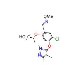 CO/N=C/c1cc(Cl)c(Oc2c(C)c(C)nn2C)cc1O[C@@H](C)C(=O)O